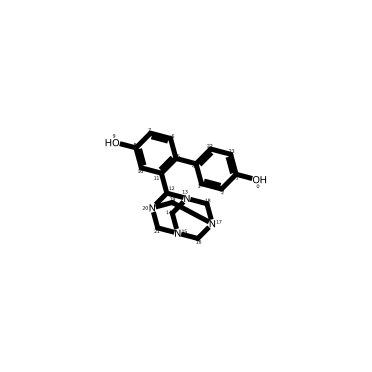 Oc1ccc(-c2ccc(O)cc2C2N3CN4CN(C3)CN2C4)cc1